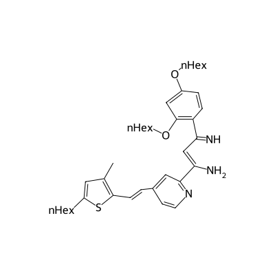 CCCCCCOc1ccc(C(=N)/C=C(\N)c2cc(/C=C/c3sc(CCCCCC)cc3C)ccn2)c(OCCCCCC)c1